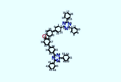 C1=CC(c2nc(-c3ccccc3)nc(-c3ccccc3)n2)CC=C1C1C=Cc2oc3ccc(-c4ccc(-c5nc(-c6ccccc6)nc(-c6ccccc6)n5)cc4)cc3c2C1